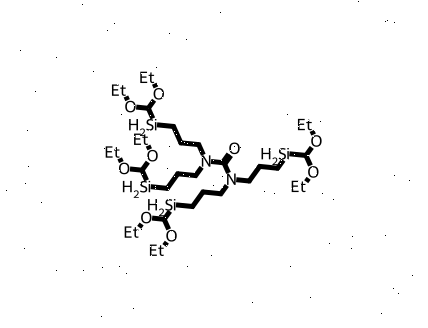 CCOC(OCC)[SiH2]CCCN(CCC[SiH2]C(OCC)OCC)C(=O)N(CCC[SiH2]C(OCC)OCC)CCC[SiH2]C(OCC)OCC